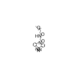 CCOC(C)(C)CCC(=O)NCCC(=O)N1Cc2ccccc2-c2c(nnn2C)-c2ccccc21